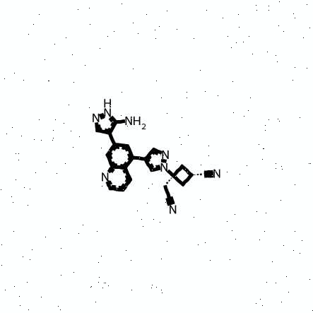 N#CC[C@]1(n2cc(-c3cc(-c4cn[nH]c4N)cc4ncccc34)cn2)C[C@H](C#N)C1